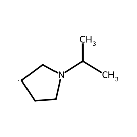 CC(C)N1C[CH]CC1